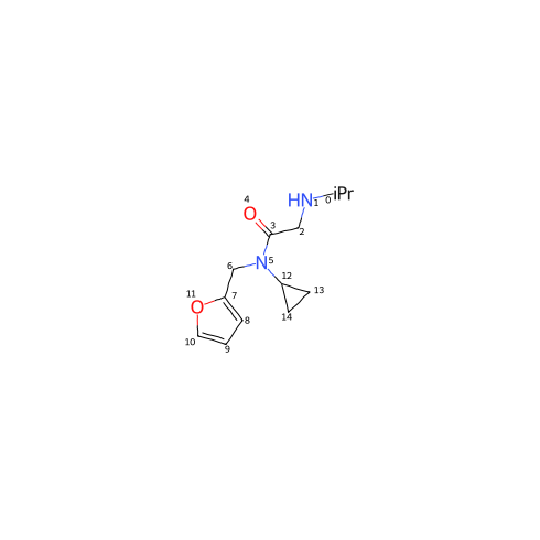 CC(C)NCC(=O)N(Cc1ccco1)C1CC1